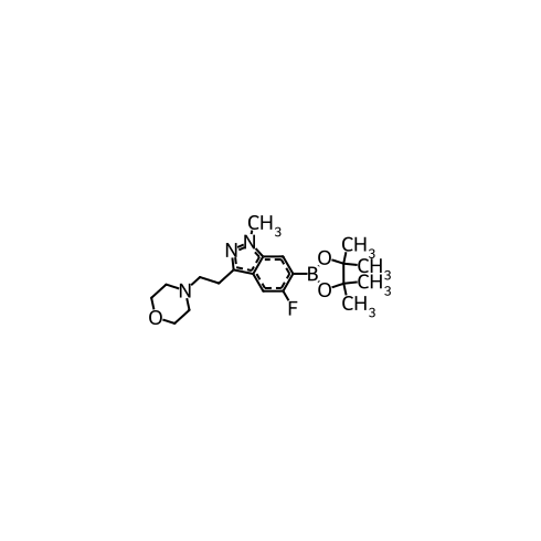 Cn1nc(CCN2CCOCC2)c2cc(F)c(B3OC(C)(C)C(C)(C)O3)cc21